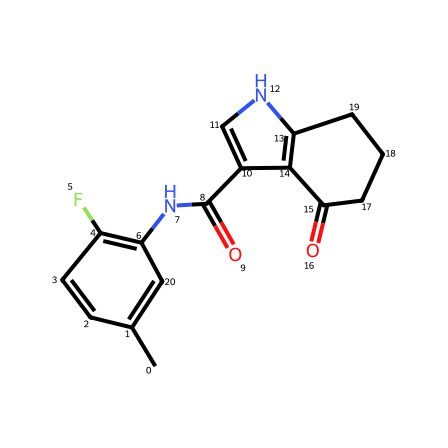 Cc1ccc(F)c(NC(=O)c2c[nH]c3c2C(=O)CCC3)c1